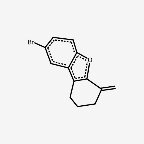 C=C1CCCc2c1oc1ccc(Br)cc21